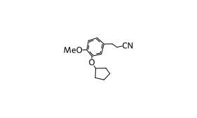 COc1ccc(CCC#N)cc1OC1CCCC1